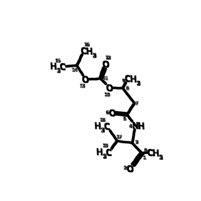 CC(=O)C(NC(=O)CC(C)OC(=O)OC(C)C)C(C)C